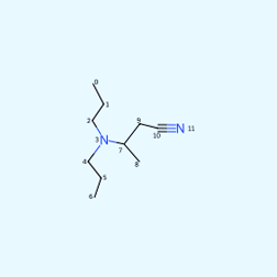 CCCN(CCC)C(C)CC#N